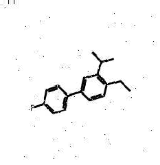 CCc1ccc(-c2ccc(F)cc2)cc1C(C)C